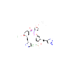 O=C(N[C@H]1C[C@H](OC(F)(F)F)C[C@@H]1OC(=O)c1ccc(OC(F)F)c(C#Cc2cncnc2)c1)c1ccc(OC(F)F)c(C#Cc2cncc(F)c2)c1